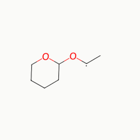 C[CH]OC1CCCCO1